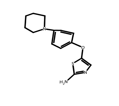 Nc1ncc(Oc2ccc(N3CCCCC3)cc2)s1